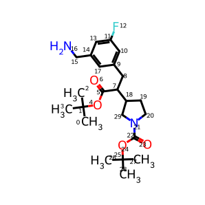 CC(C)(C)OC(=O)C(Cc1cc(F)cc(CN)c1)C1CCN(C(=O)OC(C)(C)C)C1